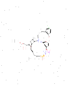 COCCC[C@]1(O)/C=C/C[C@H](C)[C@@H](C)S(=O)(=O)NC(=O)c2ccc3c(c2)N(CCCCc2cc(Cl)ccc2CO3)C[C@@H]2CC[C@H]21